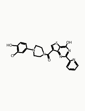 O=C(c1csc2c(O)nc(-c3ccccn3)nc12)N1CCN(c2ccc(O)c(Cl)c2)CC1